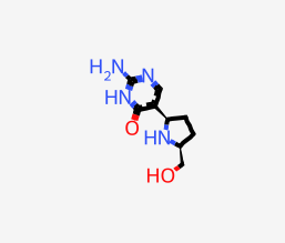 Nc1ncc([C@H]2CC[C@@H](CO)N2)c(=O)[nH]1